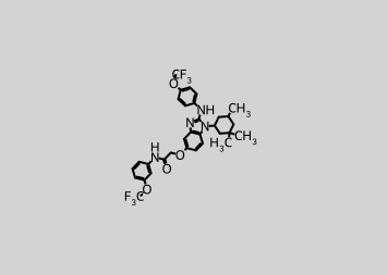 CC1CC(n2c(Nc3ccc(OC(F)(F)F)cc3)nc3cc(OCC(=O)Nc4cccc(OC(F)(F)F)c4)ccc32)CC(C)(C)C1